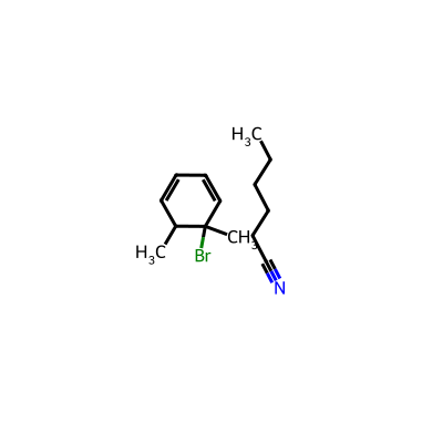 CC1C=CC=CC1(C)Br.CCCCCC#N